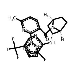 Cc1ccc(C(=O)N2[C@@H]3CC[C@H]2[C@H](Nc2ncc(C(F)(F)F)cc2F)C3)c(-n2nccn2)n1